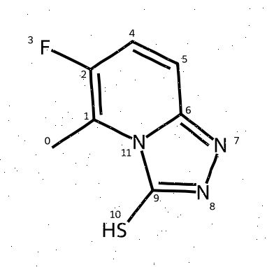 Cc1c(F)ccc2nnc(S)n12